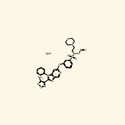 Nc1nonc1-c1nc2cnc(Oc3cccc(S(=O)(=O)N(CCN4CCOCC4)ON=O)c3)cc2n1-c1ccccc1.[NaH]